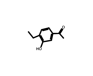 CCc1ccc(C(C)=O)cc1O